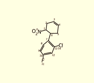 O=[N+]([O-])C1CC=CCC1c1ccc(F)cc1Cl